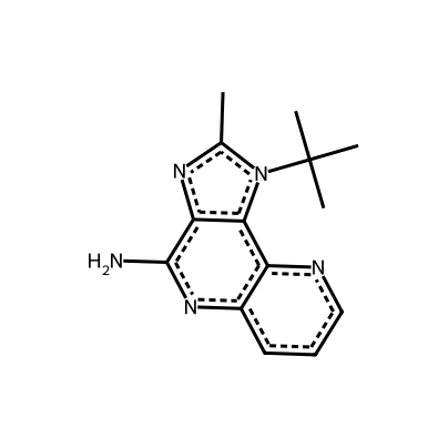 Cc1nc2c(N)nc3cccnc3c2n1C(C)(C)C